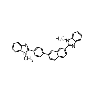 Cn1c(-c2ccc(-c3ccc4ccc(-c5nc6ccccc6n5C)cc4c3)cc2)nc2ccccc21